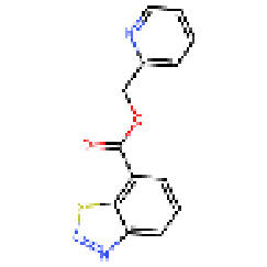 O=C(OCc1ccccn1)c1cccc2nnsc12